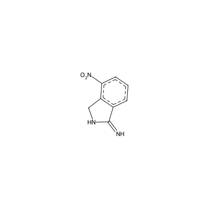 N=C1NCc2c1cccc2[N+](=O)[O-]